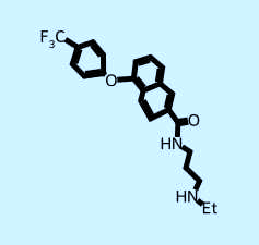 CCNCCCNC(=O)c1ccc2c(Oc3ccc(C(F)(F)F)cc3)cccc2c1